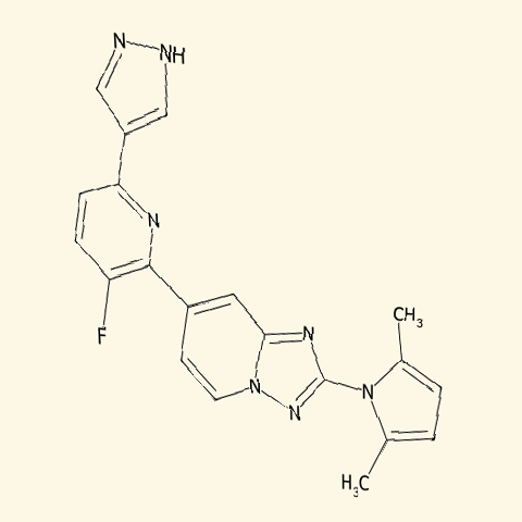 Cc1ccc(C)n1-c1nc2cc(-c3nc(-c4cn[nH]c4)ccc3F)ccn2n1